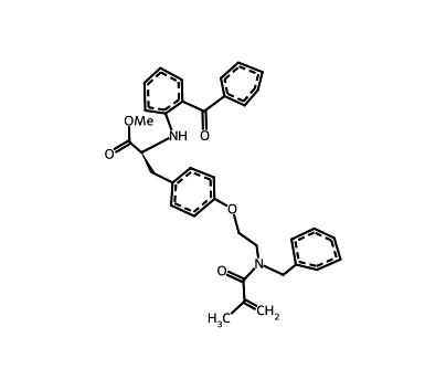 C=C(C)C(=O)N(CCOc1ccc(C[C@H](Nc2ccccc2C(=O)c2ccccc2)C(=O)OC)cc1)Cc1ccccc1